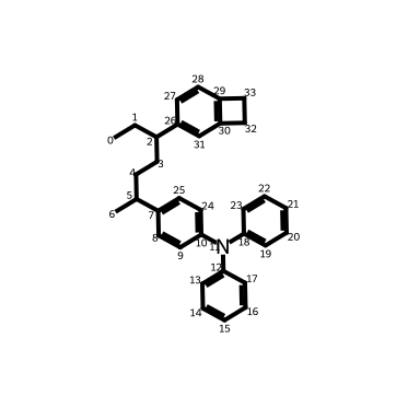 CCC(CCC(C)c1ccc(N(c2ccccc2)c2ccccc2)cc1)c1ccc2c(c1)CC2